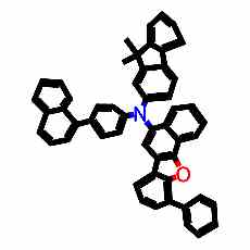 CC1(C)c2ccccc2-c2ccc(N(c3ccc(-c4cccc5ccccc45)cc3)c3cc4c5cccc(-c6ccccc6)c5oc4c4ccccc34)cc21